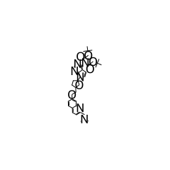 CN(C)Cc1ccc2ccc(OCC3CCC(n4ccc5c(N(C(=O)OC(C)(C)C)C(=O)OC(C)(C)C)ncnc54)O3)cc2n1